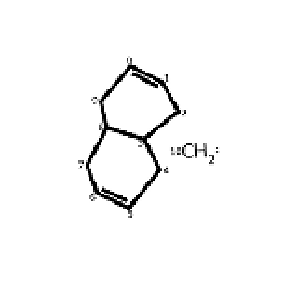 C1=CCC2CC=CCC2C1.[CH2]